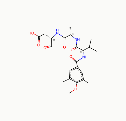 COc1c(C)cc(C(=O)N[C@H](C(=O)N[C@@H](C)C(=O)N[C@H](C=O)CC(=O)O)C(C)C)cc1C